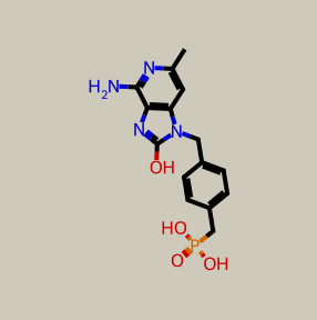 Cc1cc2c(nc(O)n2Cc2ccc(CP(=O)(O)O)cc2)c(N)n1